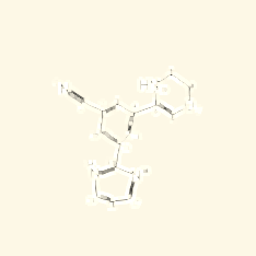 N#Cc1cc(C2=COCCN2)cc(-c2ncccn2)c1